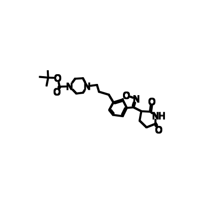 CC(C)(C)OC(=O)N1CCN(CCCc2cccc3c(C4CCC(=O)NC4=O)noc23)CC1